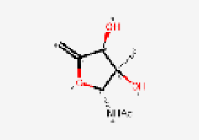 C=C1O[C@@H](NC(C)=O)[C@](C)(O)[C@@H]1O